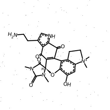 CN1C(=O)N(C)[C@]2(Oc3c(O)cc4c(c3C3=C2C(=O)c2c(CCN)c[nH]c2C3=O)CC[N+]4(C)C)C1=O